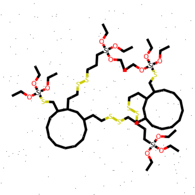 CCO[Si](CCCSSCCC1CC(CCSSCCC2CCCCCCCCC(CS[Si](OCC)(OCC)OCC)C(CCSSCCC[Si](OCC)(OCC)OCC)C2)CCCCCCCCC1CS[Si](OCC)(OCC)OCC)(OCC)OCC